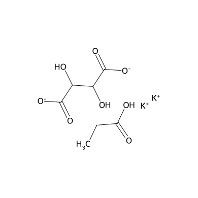 CCC(=O)O.O=C([O-])C(O)C(O)C(=O)[O-].[K+].[K+]